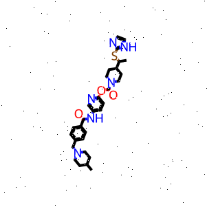 CC1CCN(Cc2ccc(C(=O)Nc3ccc(OC(=O)N4CCC(C(C)Sc5ncc[nH]5)CC4)nc3)cc2)CC1